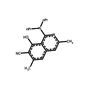 CCCN(CCC)c1nc(C)cc2cc(C)c(C#N)c(O)c12